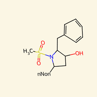 CCCCCCCCCC1CC(O)C(Cc2ccccc2)N1S(C)(=O)=O